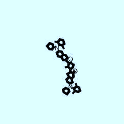 Cc1cccc(C)c1N(c1ccccc1)c1ccc2cc3c(cc2c1)oc1cc2oc4cc5cc(N(c6ccccc6)c6c(C)cccc6C)ccc5cc4c2c(C)c13